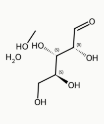 CO.O.O=C[C@H](O)[C@@H](O)[C@@H](O)CO